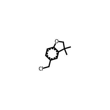 CC1(C)COc2ccc(CCl)cc21